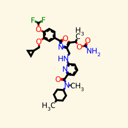 CC1CCC(N(C)C(=O)c2cccc(NCc3nc(-c4ccc(OC(F)F)c(OCC5CC5)c4)oc3C(C)OC(N)=O)n2)CC1